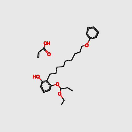 C=CC(=O)O.CCOC(CC)Oc1cccc(O)c1CCCCCCCCCOc1ccccc1